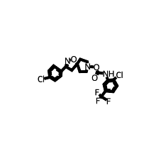 O=C(Nc1cc(C(F)(F)F)ccc1Cl)ON1CCC2(CC1)CC(c1ccc(Cl)cc1)=NO2